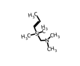 CC=C[Si](C)(C)CN(C)C